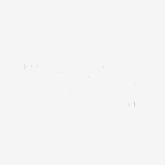 O=C(O)C[C@H]1CSc2cc(Oc3ccc(C(F)(F)F)cc3Cl)ccc21